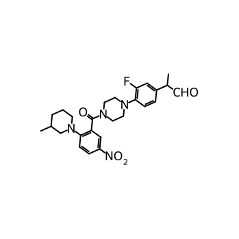 CC1CCCN(c2ccc([N+](=O)[O-])cc2C(=O)N2CCN(c3ccc(C(C)C=O)cc3F)CC2)C1